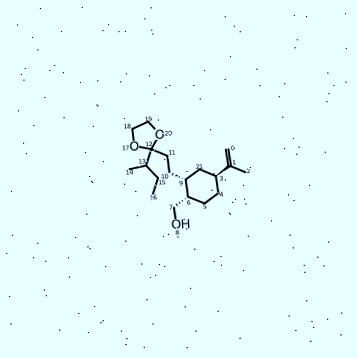 C=C(C)[C@H]1CC[C@H](CO)[C@H](CCC2(C(C)CC)OCCO2)C1